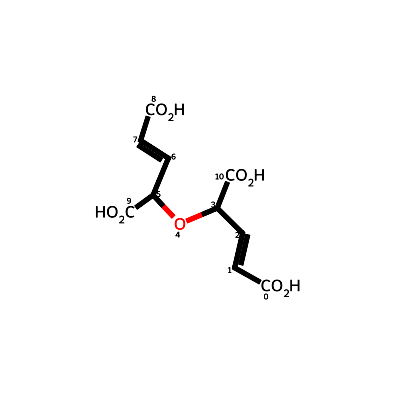 O=C(O)C=CC(OC(C=CC(=O)O)C(=O)O)C(=O)O